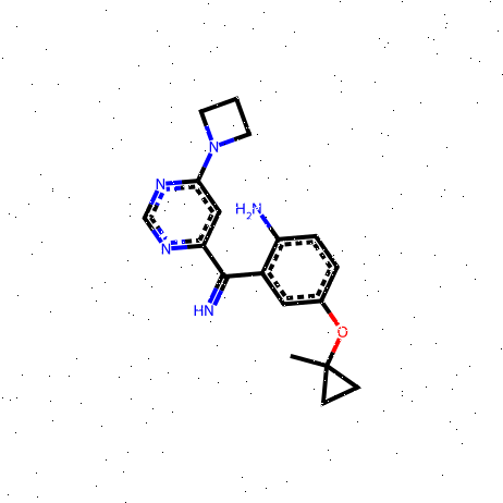 CC1(Oc2ccc(N)c(C(=N)c3cc(N4CCC4)ncn3)c2)CC1